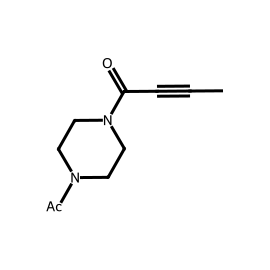 CC#CC(=O)N1CCN(C(C)=O)CC1